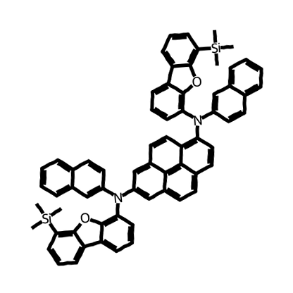 C[Si](C)(C)c1cccc2c1oc1c(N(c3ccc4ccccc4c3)c3cc4ccc5ccc(N(c6ccc7ccccc7c6)c6cccc7c6oc6c([Si](C)(C)C)cccc67)c6ccc(c3)c4c56)cccc12